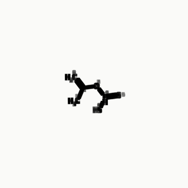 C=C(C)O[PH](=S)S